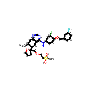 CCCS(=O)(=O)CCOCC1(c2cc3c(Nc4ccc(OCc5cccc(F)c5)c(Cl)c4)ncnc3cc2OC)CC=CO1